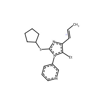 C/C=C/c1nc(SC2CCCC2)n(-c2cccnc2)c1CC